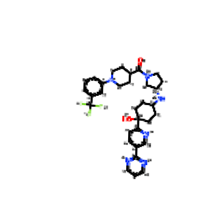 O=C(C1CCN(c2cccc(C(F)(F)F)c2)CC1)N1CC[C@H](NC2CCC(O)(c3ccc(-c4ncccn4)cn3)CC2)C1